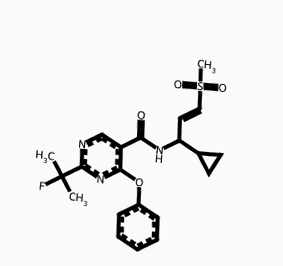 CC(C)(F)c1ncc(C(=O)NC(C=CS(C)(=O)=O)C2CC2)c(Oc2ccccc2)n1